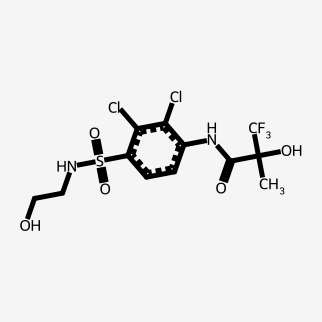 CC(O)(C(=O)Nc1ccc(S(=O)(=O)NCCO)c(Cl)c1Cl)C(F)(F)F